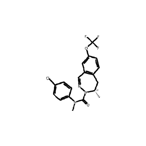 C[C@H]1Cc2ccc(OC(F)(F)F)cc2C=NN1C(=O)N(C)c1ccc(Cl)cc1